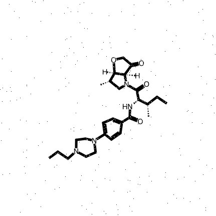 CCCN1CCN(c2ccc(C(=O)N[C@H](C(=O)N3C[C@H](C)[C@H]4OCC(=O)[C@H]43)[C@@H](C)CC)cc2)CC1